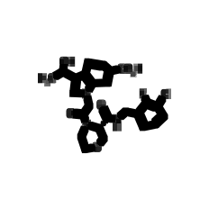 CC(O)c1cn(CC(=O)N2CCOC[C@H]2C(=O)NCc2cccc(Cl)c2F)c2cc(C(=O)O)ccc12